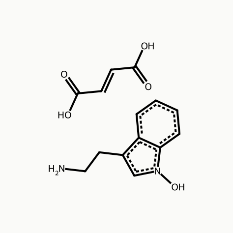 NCCc1cn(O)c2ccccc12.O=C(O)C=CC(=O)O